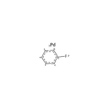 Ic1ccccc1.[Pd]